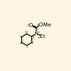 CCN(C(=O)OC)C1CCCCC1